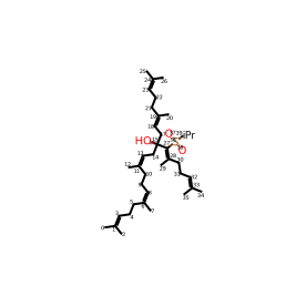 CC(C)=CCCC(C)=CCCC(C)=CCC(O)(C/C=C(\C)CCC=C(C)C)/C(=C(\C)CCC=C(C)C)S(=O)(=O)C(C)C